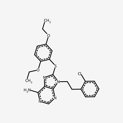 CCOc1ccc(OCC)c(Sc2nc3c(N)ncnc3n2CCc2ccccc2Cl)c1